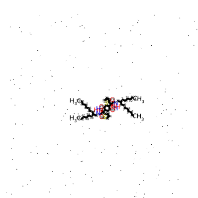 CCCCCCCCC(CCCCCC)CNC(=O)C(O)(c1cccs1)C1CC(=O)C(C(O)(C(=O)NCC(CCCCCC)CCCCCCCC)c2cccs2)CC1=O